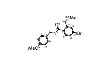 COc1ccc(CNC(=O)c2ccc(Br)cc2CSC)cc1